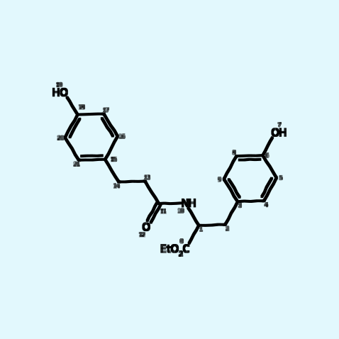 CCOC(=O)C(Cc1ccc(O)cc1)NC(=O)CCc1ccc(O)cc1